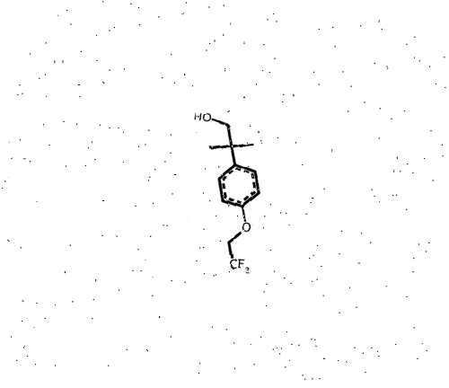 CC(C)(CO)c1ccc(OCC(F)(F)F)cc1